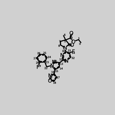 CCOC(=O)C1(C)CCN(c2nc(-c3cc(-c4ccon4)n(Cc4ccccc4F)n3)ncc2F)C1=O